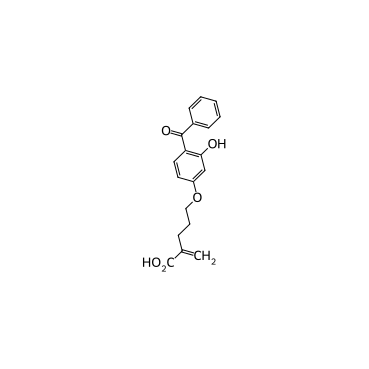 C=C(CCCOc1ccc(C(=O)c2ccccc2)c(O)c1)C(=O)O